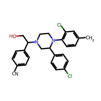 Cc1ccc(N2CCN(C(CO)c3ccc(C#N)cc3)CC2c2ccc(Cl)cc2)c(Cl)c1